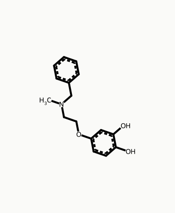 CN(CCOc1ccc(O)c(O)c1)Cc1ccccc1